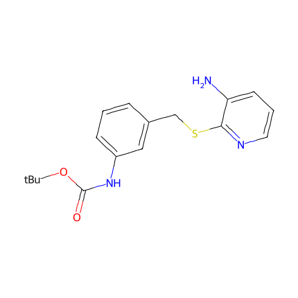 CC(C)(C)OC(=O)Nc1cccc(CSc2ncccc2N)c1